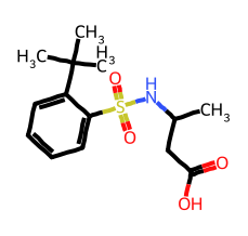 CC(CC(=O)O)NS(=O)(=O)c1ccccc1C(C)(C)C